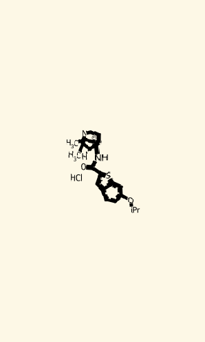 CC(C)Oc1ccc2cc(C(=O)N[C@@H]3C4CCN(CC4)C3(C)C)sc2c1.Cl